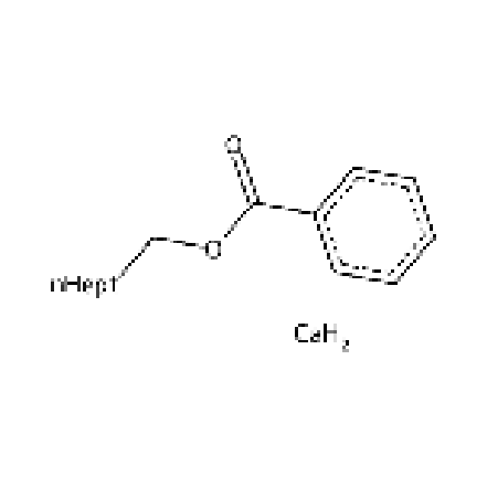 CCCCCCCCOC(=O)c1ccccc1.[CaH2]